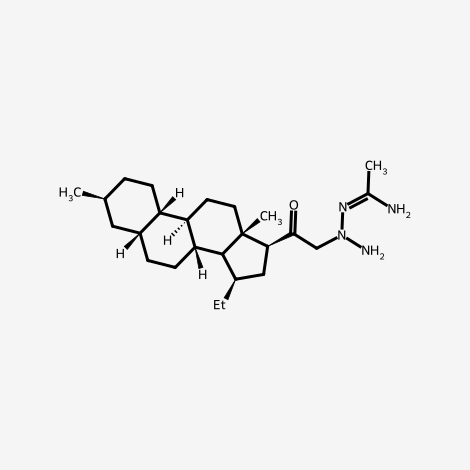 CC[C@@H]1C[C@H](C(=O)CN(N)/N=C(/C)N)[C@@]2(C)CC[C@@H]3[C@H]4CC[C@H](C)C[C@H]4CC[C@H]3C12